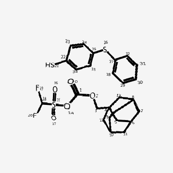 O=C(OCC12CC3CC(CC(C3)C1)C2)OS(=O)(=O)C(F)F.Sc1ccc(Sc2ccccc2)cc1